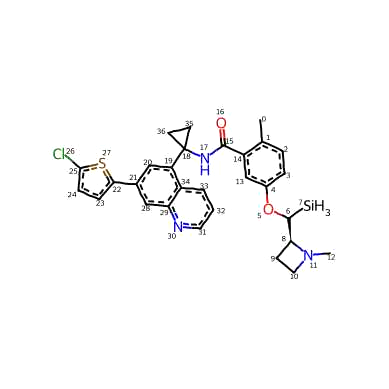 Cc1ccc(OC([SiH3])[C@@H]2CCN2C)cc1C(=O)NC1(c2cc(-c3ccc(Cl)s3)cc3ncccc23)CC1